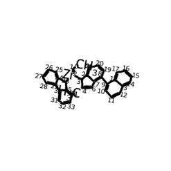 C[CH]=[Zr]([CH]1C(C)=Cc2c(-c3cccc4ccccc34)cccc21)[CH]1c2ccccc2-c2ccccc21